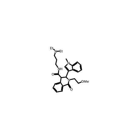 CCN(CC)CCCNC(=O)C1c2ccccc2C(=O)N(CCOC)C1c1cn(C)c2ccccc12